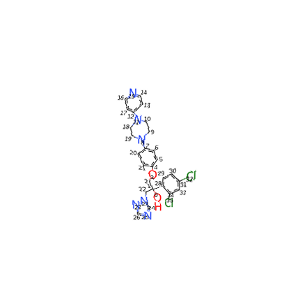 OC(COc1ccc(N2CCN(c3ccncc3)CC2)cc1)(Cn1cncn1)c1ccc(Cl)cc1Cl